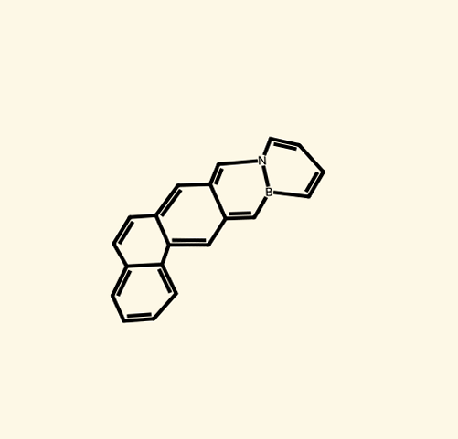 C1=CB2C=c3cc4c(ccc5ccccc54)cc3=CN2C=C1